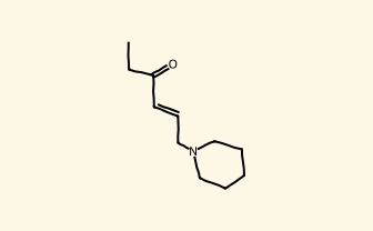 CCC(=O)/C=C/CN1CCCCC1